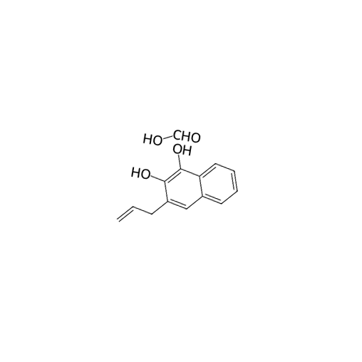 C=CCc1cc2ccccc2c(O)c1O.O=CO